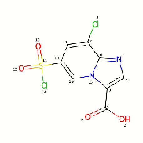 O=C(O)c1cnc2c(Cl)cc(S(=O)(=O)Cl)cn12